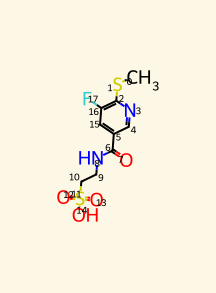 CSc1ncc(C(=O)NCCS(=O)(=O)O)cc1F